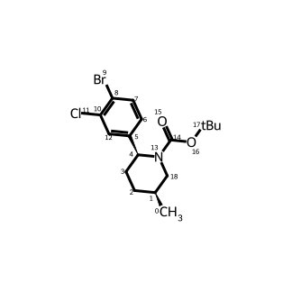 C[C@H]1CC[C@@H](c2ccc(Br)c(Cl)c2)N(C(=O)OC(C)(C)C)C1